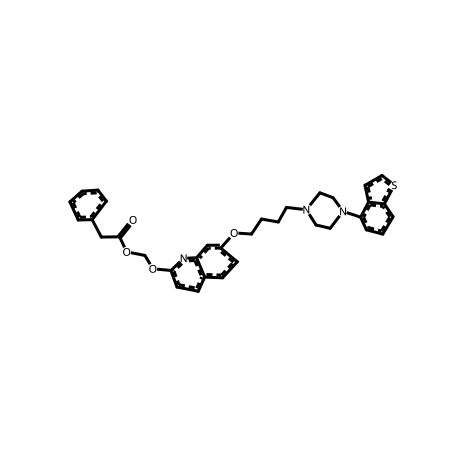 O=C(Cc1ccccc1)OCOc1ccc2ccc(OCCCCN3CCN(c4cccc5sccc45)CC3)cc2n1